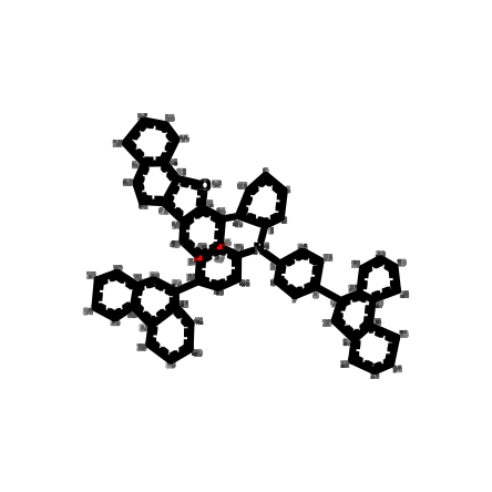 c1ccc(N(c2ccc(-c3cc4ccccc4c4ccccc34)cc2)c2ccc(-c3cc4ccccc4c4ccccc34)cc2)c(-c2cccc3c2oc2c4ccccc4ccc32)c1